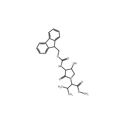 COC(=O)C(C(C)C)N1CC(O)C(NC(=O)OCC2c3ccccc3-c3ccccc32)C1=O